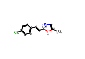 Clc1ccc(C=CN2NC=C(C(Cl)(Cl)Cl)O2)cc1